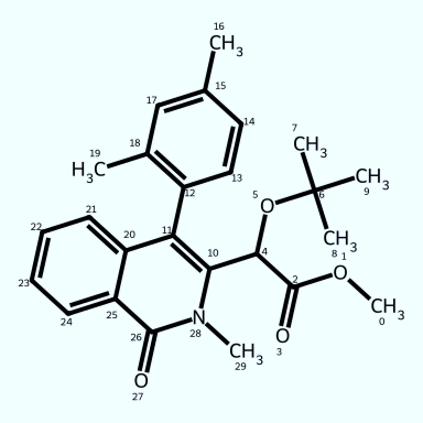 COC(=O)C(OC(C)(C)C)c1c(-c2ccc(C)cc2C)c2ccccc2c(=O)n1C